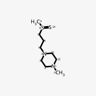 CN1CCN(CCCS(C)=S)CC1